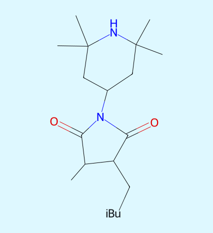 CCC(C)CC1C(=O)N(C2CC(C)(C)NC(C)(C)C2)C(=O)C1C